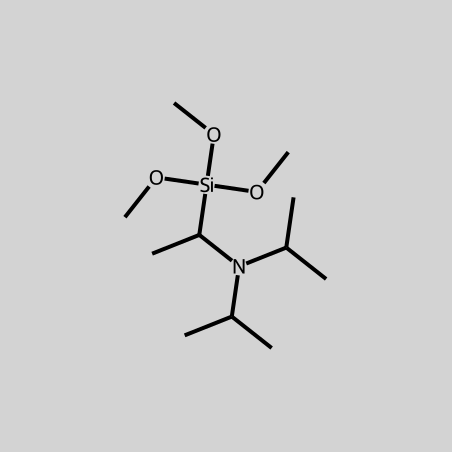 CO[Si](OC)(OC)C(C)N(C(C)C)C(C)C